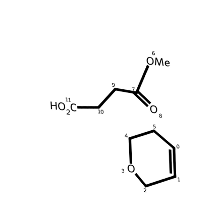 C1=CCOCC1.COC(=O)CCC(=O)O